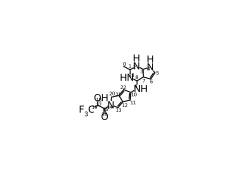 CC1NC2NC=CC2C(NC2=CC3=CN(C(=O)[C@H](O)C(F)(F)F)CC3=C2)N1